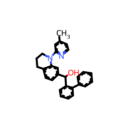 Cc1ccnc(N2CCCc3ccc(C(O)c4ccccc4-c4ccccc4)cc32)c1